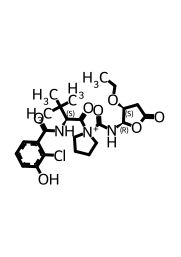 CCO[C@H]1CC(=O)O[C@H]1NC(=O)[N+]1(C(=O)[C@@H](NC(=O)c2cccc(O)c2Cl)C(C)(C)C)CCCC1